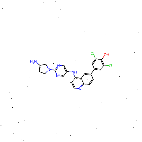 NC1CCN(c2ncc(Nc3[c]cnc4ccc(-c5cc(Cl)c(O)c(Cl)c5)cc34)cn2)C1